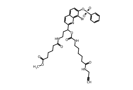 C#CCNC(=O)CCCCCNC(=O)OC(CCNC(=O)CCCCC(=O)OC)c1ccc2ccc(OS(=O)(=O)c3ccccc3)c(Br)c2n1